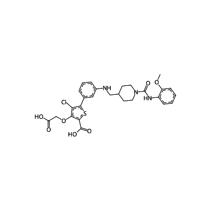 COc1ccccc1NC(=O)N1CCC(CNc2cccc(-c3sc(C(=O)O)c(OCC(=O)O)c3Cl)c2)CC1